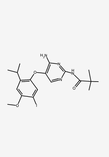 COc1cc(C(C)C)c(Oc2cnc(NC(=O)C(C)(C)C)nc2N)cc1I